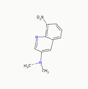 CN(C)c1cnc2c([N+](=O)[O-])cccc2c1